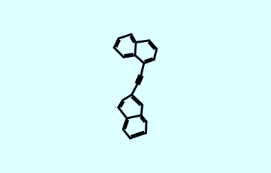 C(#Cc1cccc2ccccc12)c1c[c]c2ccccc2c1